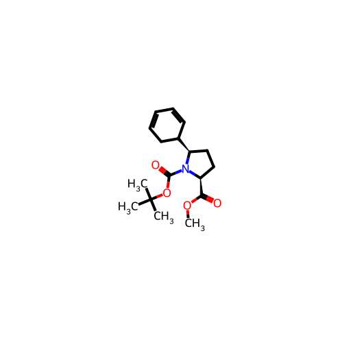 COC(=O)[C@@H]1CC[C@H](C2C=CC=CC2)N1C(=O)OC(C)(C)C